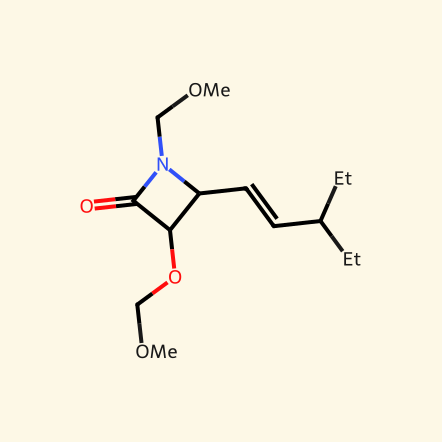 CCC(/C=C/C1C(OCOC)C(=O)N1COC)CC